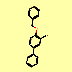 Bc1cc(-c2ccccc2)ccc1OCc1ccccc1